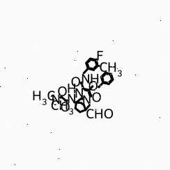 Cc1cc(CNC(=O)c2nc3n(c(=O)c2OCc2ccccc2)CC2(C=O)CCC3(NC(=O)C(=O)N(C)C)CC2)ccc1F